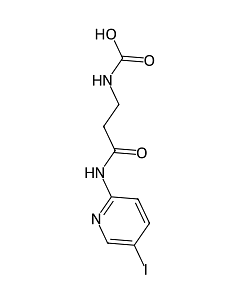 O=C(O)NCCC(=O)Nc1ccc(I)cn1